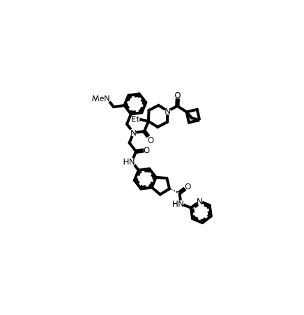 CCC1(C(=O)N(CC(=O)Nc2ccc3c(c2)C[C@H](C(=O)Nc2ccccn2)C3)Cc2ccccc2CNC)CCN(C(=O)C23CC(C2)C3)CC1